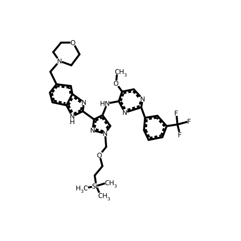 COc1cnc(-c2cccc(C(F)(F)F)c2)nc1Nc1cn(COCC[Si](C)(C)C)nc1-c1nc2cc(CN3CCOCC3)ccc2[nH]1